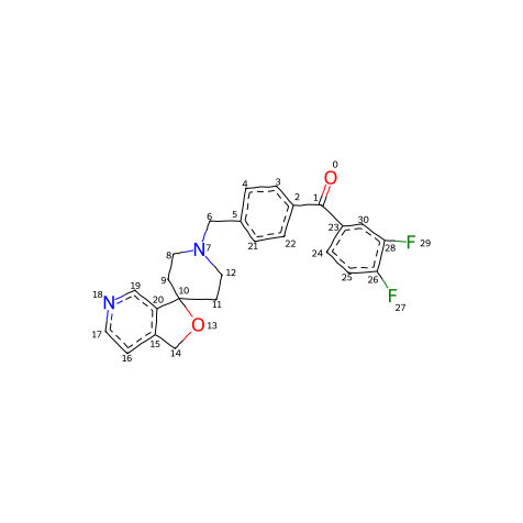 O=C(c1ccc(CN2CCC3(CC2)OCc2ccncc23)cc1)c1ccc(F)c(F)c1